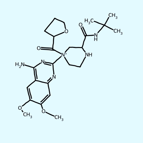 COc1cc2nc([N+]3(C(=O)C4CCCO4)CCNC(C(=O)NC(C)(C)C)C3)nc(N)c2cc1OC